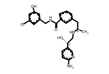 C[C@H](Cc1cccc(C(=O)NCc2cc(O)cc(Cl)c2)c1)NC[C@@H](O)c1ccc(N)nc1